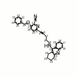 N#Cc1nc(C#CCCCNc2c3c(nc4ccccc24)CCCC3)ccc1OCc1ccccc1